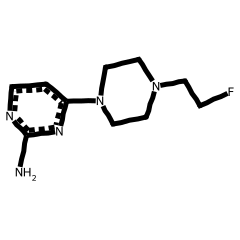 Nc1nccc(N2CCN(CCF)CC2)n1